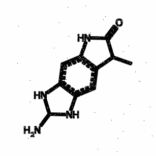 CC1C(=O)Nc2cc3c(cc21)NC(N)N3